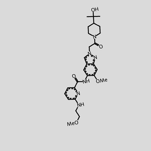 COCCNc1cccc(C(=O)Nc2cc3cn(CC(=O)N4CCC(C(C)(C)O)CC4)nc3cc2OC)n1